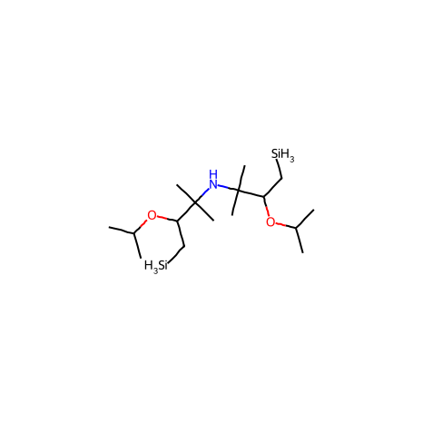 CC(C)OC(C[SiH3])C(C)(C)NC(C)(C)C(C[SiH3])OC(C)C